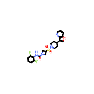 O=C(Nc1c(F)cccc1F)N1CC(S(=O)(=O)N2CCC(c3coc4cccnc34)CC2)C1